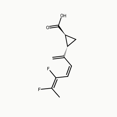 C=C(/C=C\C(F)=C(/C)F)[C@H]1C[C@@H]1C(=O)O